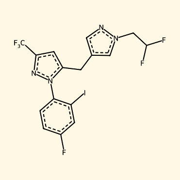 Fc1ccc(-n2nc(C(F)(F)F)cc2Cc2cnn(CC(F)F)c2)c(I)c1